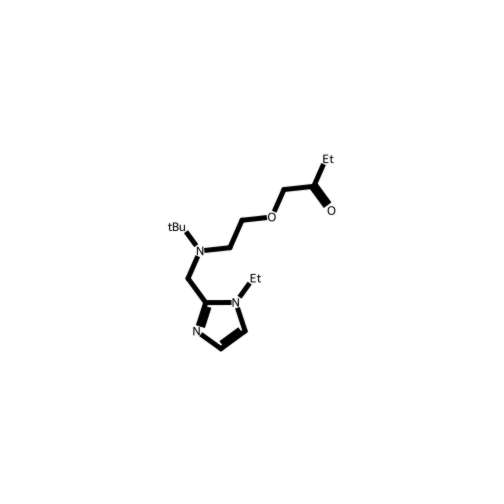 CCC(=O)COCCN(Cc1nccn1CC)C(C)(C)C